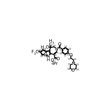 CC(C)OC(=O)C1=CN(C(=O)c2ccc(OCCN3CCOCC3)cc2)CC(C)(C)c2c1[nH]n1cc(C(F)(F)F)cc21